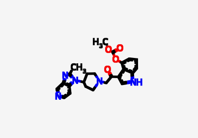 COC(=O)Oc1cccc2[nH]cc(C(=O)CN3CCC(n4c(C)nc5cnccc54)CC3)c12